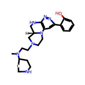 CN(CCN1CCN2c3cc(-c4ccccc4O)nnc3NC[C@H]2C1)C1CCNCC1